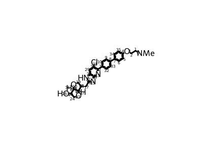 CNCCOc1ccc(-c2ccc(-c3nc4nc(C[C@@H]5CO[C@H]6[C@@H]5OC[C@H]6O)[nH]c4cc3Cl)cc2)cc1